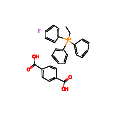 CC[P+](c1ccccc1)(c1ccccc1)c1ccccc1.O=C(O)c1ccc(C(=O)O)cc1.[I-]